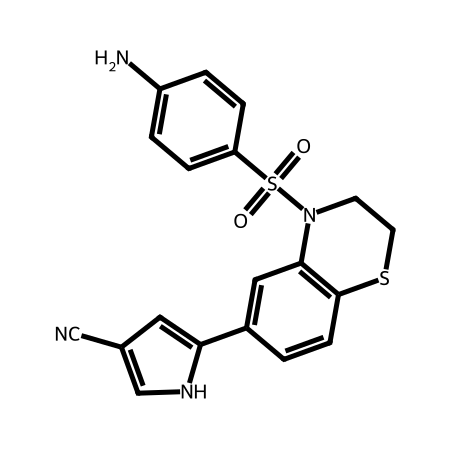 N#Cc1c[nH]c(-c2ccc3c(c2)N(S(=O)(=O)c2ccc(N)cc2)CCS3)c1